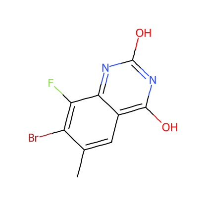 Cc1cc2c(O)nc(O)nc2c(F)c1Br